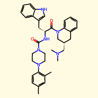 Cc1ccc(N2CCN(C(=O)N[C@H](Cc3c[nH]c4ccccc34)C(=O)N3C[C@@H](CN(C)C)Cc4ccccc43)CC2)c(C)c1